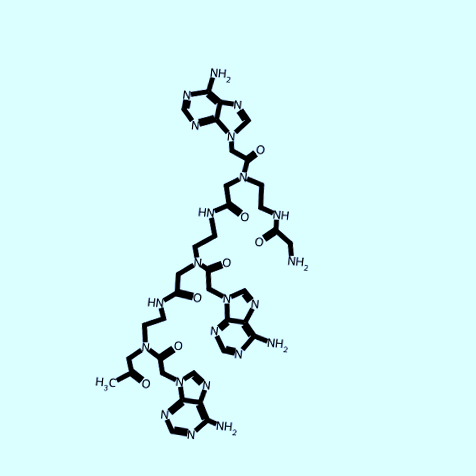 CC(=O)CN(CCNC(=O)CN(CCNC(=O)CN(CCNC(=O)CN)C(=O)Cn1cnc2c(N)ncnc21)C(=O)Cn1cnc2c(N)ncnc21)C(=O)Cn1cnc2c(N)ncnc21